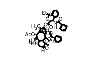 CCC(=O)OC(C(=O)OC1C[C@@]2(O)C(OC(=O)c3ccccc3)C3[C@](C)(C(=O)[C@H](OC(C)=O)C(=C1C)C2(C)C)[C@@H](O)C[C@H]1OC[C@@]31OC(C)=O)C(NC(=O)c1ccccc1)c1ccccc1